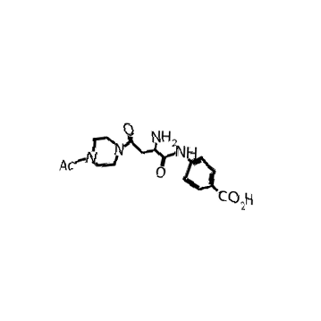 CC(=O)N1CCN(C(=O)CC(N)C(=O)Nc2ccc(C(=O)O)cc2)CC1